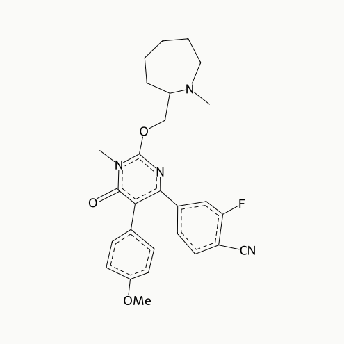 COc1ccc(-c2c(-c3ccc(C#N)c(F)c3)nc(OCC3CCCCCN3C)n(C)c2=O)cc1